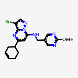 COc1ncc(CNc2cc(C3CC=CCC3)nc3c(Br)cnn23)cn1